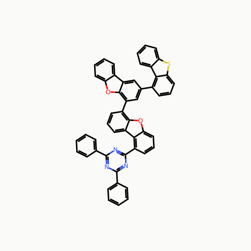 c1ccc(-c2nc(-c3ccccc3)nc(-c3cccc4oc5c(-c6cc(-c7cccc8sc9ccccc9c78)cc7c6oc6ccccc67)cccc5c34)n2)cc1